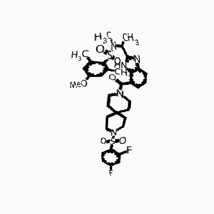 COc1cc(C)c(S(=O)(=O)N(C)C(C)c2nc3cccc(C(=O)N4CCC5(CC4)CCN(S(=O)(=O)c4ccc(F)cc4F)CC5)c3[nH]2)c(C)c1